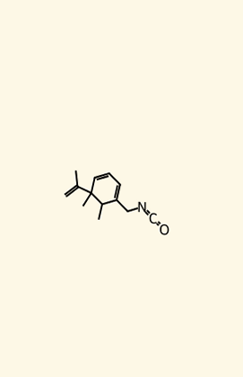 C=C(C)C1(C)C=CC=C(CN=C=O)C1C